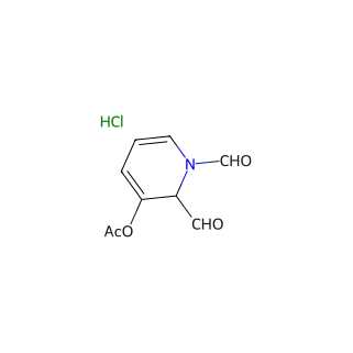 CC(=O)OC1=CC=CN(C=O)C1C=O.Cl